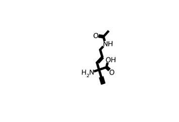 C#CC(N)(C=CCNC(C)=O)C(=O)O